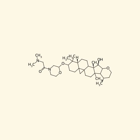 C[C@@H]1CCOC2C1C1(C)CCC34CC35CCC(OC3CN(C(=O)CN(C)C)CCO3)C(C)(C)[C@@H]5CCC4[C@]1(C)[C@H]2O